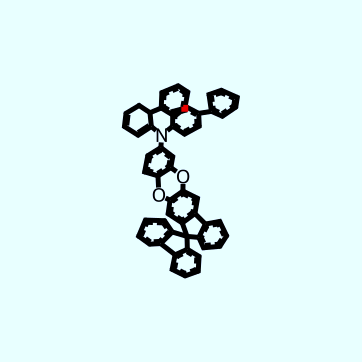 C1=CCC(c2ccccc2)C(N(c2ccc(-c3ccccc3)cc2)c2ccc3c(c2)Oc2cc4c(cc2O3)C2(c3ccccc3-c3ccccc32)c2ccccc2-4)=C1